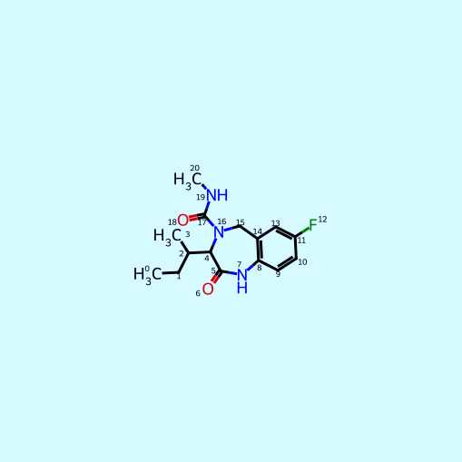 CCC(C)C1C(=O)Nc2ccc(F)cc2CN1C(=O)NC